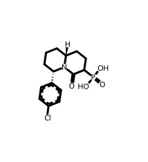 O=C1C(P(=O)(O)O)CC[C@H]2CCC[C@@H](c3ccc(Cl)cc3)N12